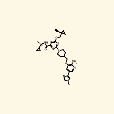 C#CC1(COc2nc(C(=O)N[C@H](C)C3CC3)nc(N3CCC(COc4cc(-c5cn(C)cn5)cnc4N)CC3)n2)CC1